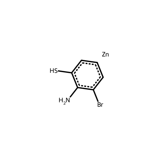 Nc1c(S)cccc1Br.[Zn]